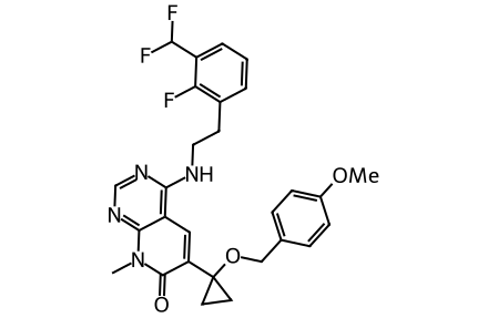 COc1ccc(COC2(c3cc4c(NCCc5cccc(C(F)F)c5F)ncnc4n(C)c3=O)CC2)cc1